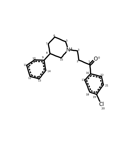 O=C(CCN1CCCC(c2ccccc2)C1)c1ccc(Cl)cc1